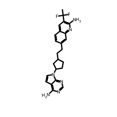 CC(F)(F)c1cc2ccc(CCC3CCC(n4ccc5c(N)ncnc54)C3)cc2nc1N